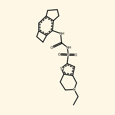 CCN1CCc2sc(S(=O)(=O)NC(=O)Nc3c4c(cc5c3CC5)CCC4)cc2C1